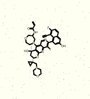 C#Cc1c(F)ccc2cc(O)cc(-c3ncc4c(N5CCOCC(NC(=O)C=C)C5)c5c(nc4c3F)O[C@H](C3(CN4CCOCC4)CC3)C[C@@]5(C)O)c12